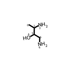 CC(N)C(O)CN